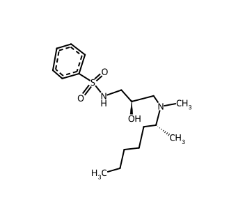 CCCCC[C@@H](C)N(C)C[C@@H](O)CNS(=O)(=O)c1ccccc1